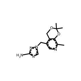 Cc1ncc(Cn2cnc(N)n2)c2c1OC(C)(C)OC2